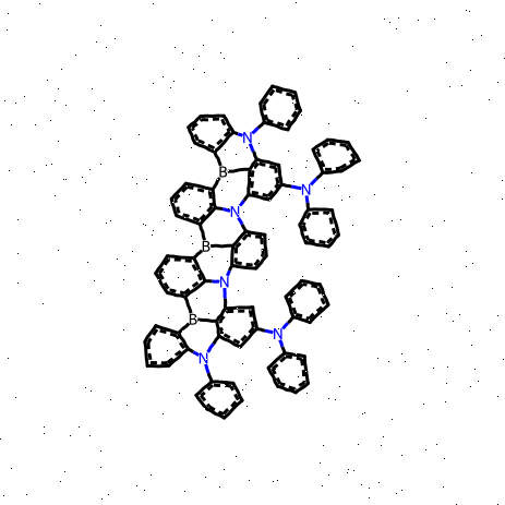 c1ccc(N(c2ccccc2)c2cc3c4c(c2)N2c5cccc6c5B(c5cccc(c52)B4c2ccccc2N3c2ccccc2)c2cccc3c2N6c2cc(N(c4ccccc4)c4ccccc4)cc4c2B3c2ccccc2N4c2ccccc2)cc1